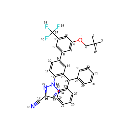 CC(C)(C)COc1cc(-c2ccc(-n3ncc(C#N)n3)c(C(c3ccccc3)c3ccccc3)c2)cc(C(F)(F)F)c1